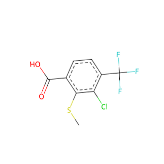 CSc1c(C(=O)O)ccc(C(F)(F)F)c1Cl